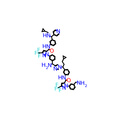 NCc1cccc(-n2nc(C(F)(F)F)cc2C(=O)Nc2cccc(C(CCC3CC3)n3cnc(C(N)c4cccc(-n5nc(C(F)(F)F)cc5C(=O)Nc5cccc(C(NCC6CC6)c6ccncc6)c5)c4)c3)c2)c1